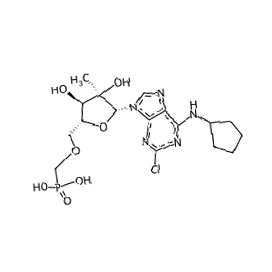 C[C@@]1(O)[C@H](O)[C@@H](COCP(=O)(O)O)O[C@H]1n1cnc2c(NC3CCCC3)nc(Cl)nc21